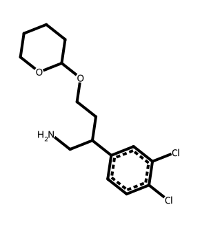 NCC(CCOC1CCCCO1)c1ccc(Cl)c(Cl)c1